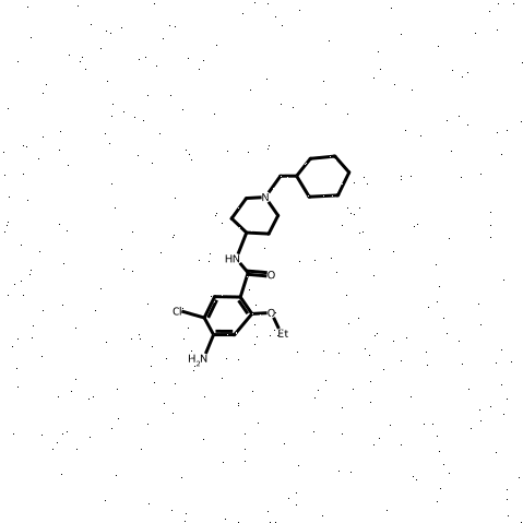 CCOc1cc(N)c(Cl)cc1C(=O)NC1CCN(CC2CCCCC2)CC1